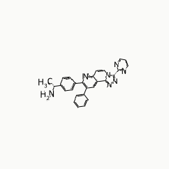 C[C@@H](N)c1ccc(-c2nc3ccn4c(-c5ncccn5)nnc4c3cc2-c2ccccc2)cc1